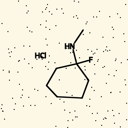 CNC1(F)CCCCC1.Cl